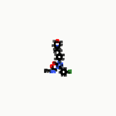 CC(C)NC(=O)Cn1c(-c2cccc(Cl)c2)nn(-c2ccc(CC(C)N3C4CCC3COC4)cc2)c1=O